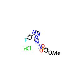 COc1ccc(S(=O)(=O)N(C)CCN2CCN(c3nccnc3-c3ccc(F)cc3)CC2)cc1.Cl